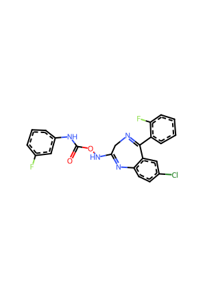 O=C(Nc1cccc(F)c1)ONC1=Nc2ccc(Cl)cc2C(c2ccccc2F)=NC1